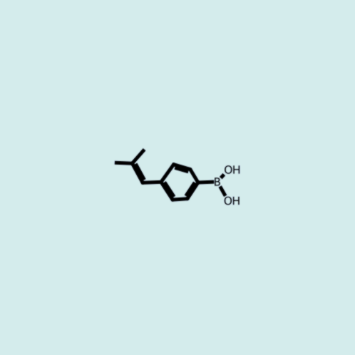 CC(C)=Cc1ccc(B(O)O)cc1